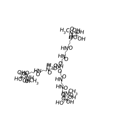 CNC(COCCC(=O)NCCCNC(=O)CCCCO[C@@H]1OC(CO)[C@H](O)C(O)C1NC(C)=O)(COCCC(=O)NCCCNC(=O)CCCCO[C@@H]1OC(CO)[C@H](O)C(O)[C@@H]1NC(C)=O)COCCC(=O)NCCCNC(=O)CCO[C@@H]1OC(CO)[C@H](O)C(O)C1NC(C)=O